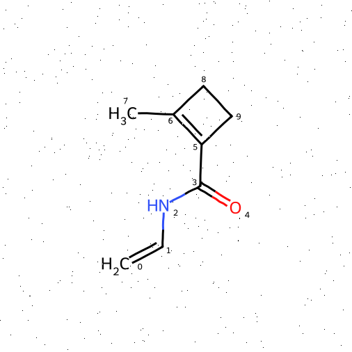 C=CNC(=O)C1=C(C)CC1